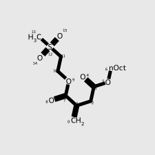 C=C(CC(=O)OCCCCCCCC)C(=O)OCCS(C)(=O)=O